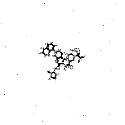 C=C(F)C(=O)N1CC2C(=O)N(C)c3c(OC[C@@H]4C[C@@H](F)CN4C)nc4c(c3N2C[C@@H]1CC#N)CCN(c1cccc2c1SCCC2)C4